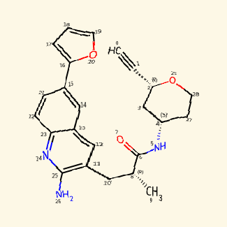 C#C[C@H]1C[C@@H](NC(=O)[C@H](C)Cc2cc3cc(-c4ccco4)ccc3nc2N)CCO1